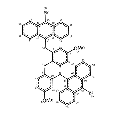 COc1ccc(Sc2ccc(OC)cc2Cc2c3ccccc3c(Br)c3ccccc23)c(Cc2c3ccccc3c(Br)c3ccccc23)c1